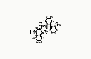 CSc1ccccc1-c1ccccc1NC(=O)c1c[nH]c2ccccc2c1=O